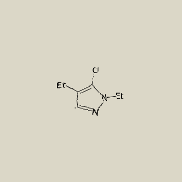 CCc1[c]nn(CC)c1Cl